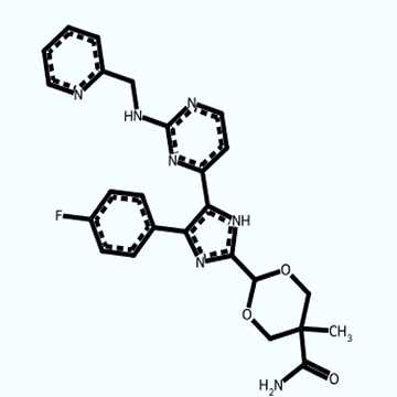 CC1(C(N)=O)COC(c2nc(-c3ccc(F)cc3)c(-c3ccnc(NCc4ccccn4)n3)[nH]2)OC1